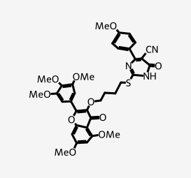 COc1ccc(-c2nc(SCCCCOc3c(-c4cc(OC)c(OC)c(OC)c4)oc4cc(OC)cc(OC)c4c3=O)[nH]c(=O)c2C#N)cc1